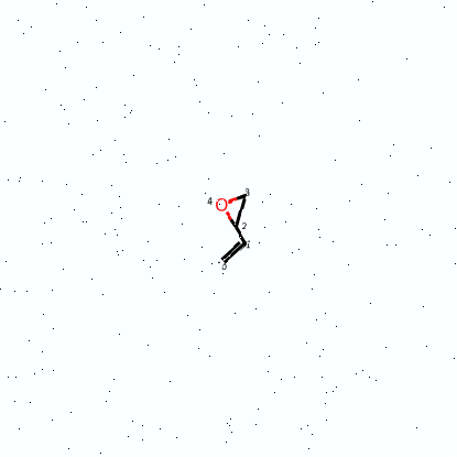 [CH]=CC1CO1